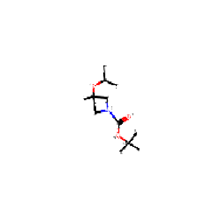 CC(C)OC1(C)CN(C(=O)OC(C)(C)C)C1